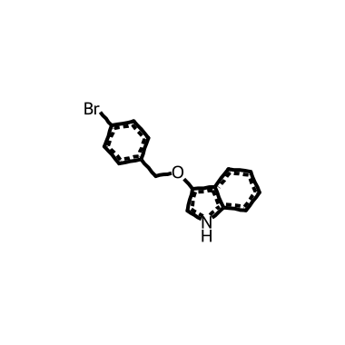 Brc1ccc(COc2c[nH]c3ccccc23)cc1